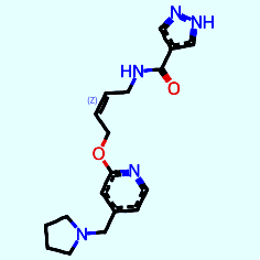 O=C(NC/C=C\COc1cc(CN2CCCC2)ccn1)c1cn[nH]c1